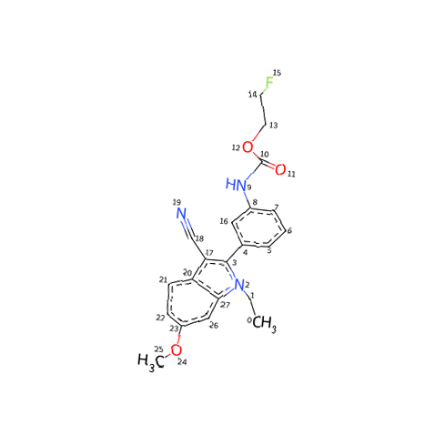 CCn1c(-c2cccc(NC(=O)OCCF)c2)c(C#N)c2ccc(OC)cc21